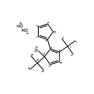 CC(C)(C)C1=C(C2=CC=CC2)[C]([Zr])(C(C)(C)C)C=C1.Cl.Cl